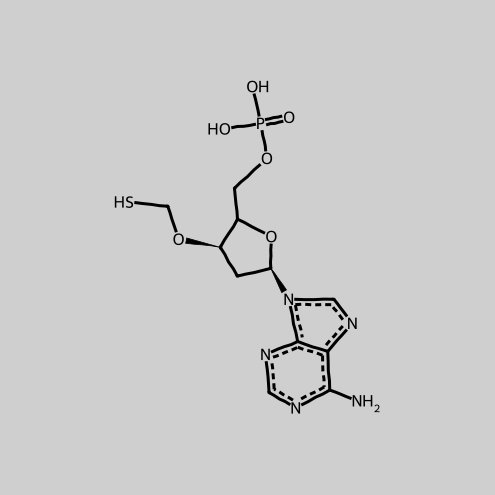 Nc1ncnc2c1ncn2[C@H]1C[C@@H](OCS)C(COP(=O)(O)O)O1